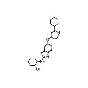 O[C@@H]1CCCC[C@H]1Nc1nc2ccc(Oc3ccnc(C4CCCCC4)c3)cc2s1